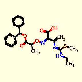 C=C(/N=C(/NCC)SC)/C(=N/O[C@@H](C)C(=O)OC(c1ccccc1)c1ccccc1)C(=O)O